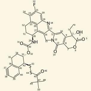 CC[C@@]1(O)C(=O)OCc2c1cc1n(c2=O)Cc2c-1nc1cc(F)c(C)c3c1c2[C@@H](NC(=O)O[C@H]1CCc2c#cccc2[C@@H]1SSC(=O)C(C)(C)C)CC3